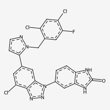 O=c1[nH]c2ccc(-n3nnc4c(Cl)cc(-c5ccnn5Cc5cc(F)c(Cl)cc5Cl)cc43)cc2[nH]1